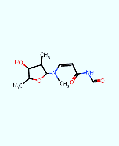 CC1OC(N(C)/C=C\C(=O)NC=O)C(C)[C@@H]1O